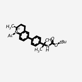 CC(=O)N1c2ccc(-c3ccc(C(C)(C)NC(=O)OC(C)(C)C)cc3)cc2CC[C@@H]1C